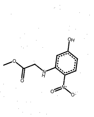 COC(=O)CNc1cc(O)ccc1[N+](=O)[O-]